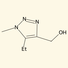 CCc1c(CO)nnn1C